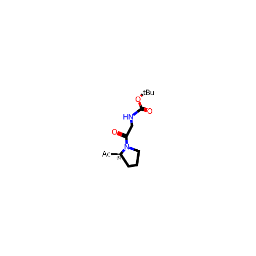 CC(=O)[C@@H]1CCCN1C(=O)CNC(=O)OC(C)(C)C